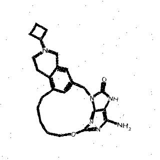 Nc1nc2nc3c1[nH]c(=O)n3Cc1cc(c3c(c1)CN(C1CCC1)CC3)CCCCCO2